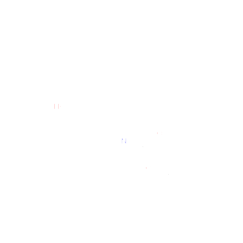 CCC[C@@H](O)[C@H]1CCN(C(=O)OC(C)(C)C)C1